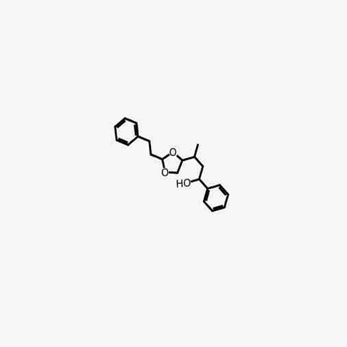 CC(CC(O)c1ccccc1)C1COC(CCc2ccccc2)O1